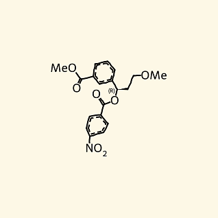 COCC[C@@H](OC(=O)c1ccc([N+](=O)[O-])cc1)c1cccc(C(=O)OC)c1